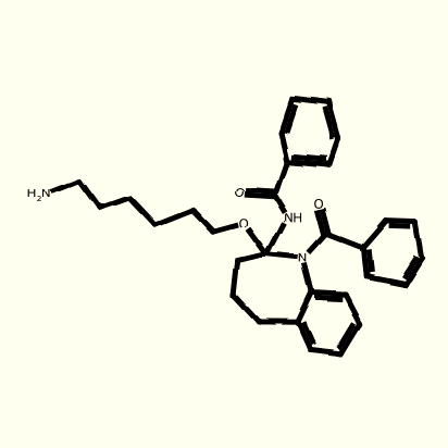 NCCCCCCOC1(NC(=O)c2ccccc2)CCCc2ccccc2N1C(=O)c1ccccc1